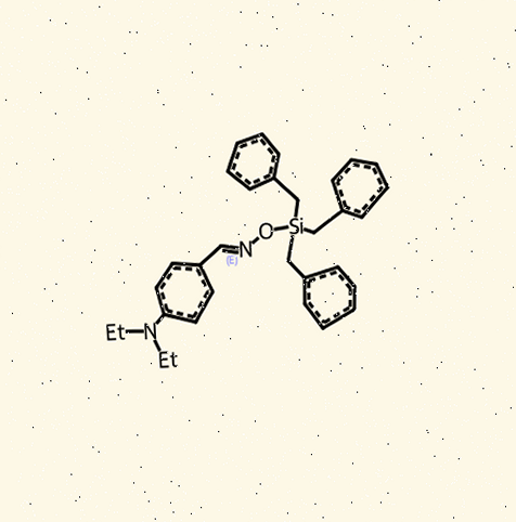 CCN(CC)c1ccc(/C=N/O[Si](Cc2ccccc2)(Cc2ccccc2)Cc2ccccc2)cc1